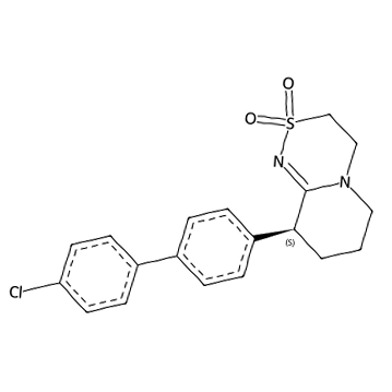 O=S1(=O)CCN2CCC[C@@H](c3ccc(-c4ccc(Cl)cc4)cc3)C2=N1